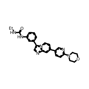 CCNC(=O)Nc1cccc(-c2cnc3cc(-c4ccc(N5CCOCC5)nc4)ccn23)c1